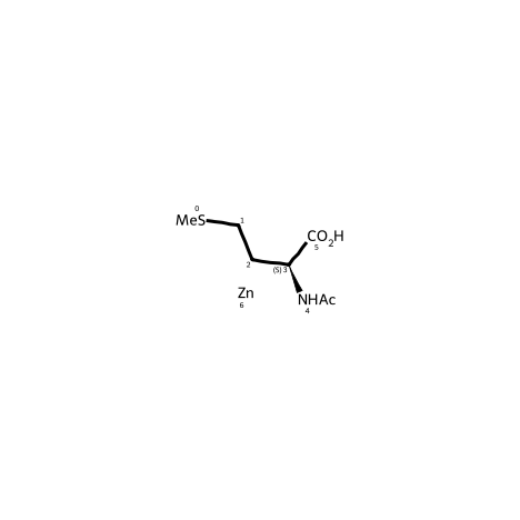 CSCC[C@H](NC(C)=O)C(=O)O.[Zn]